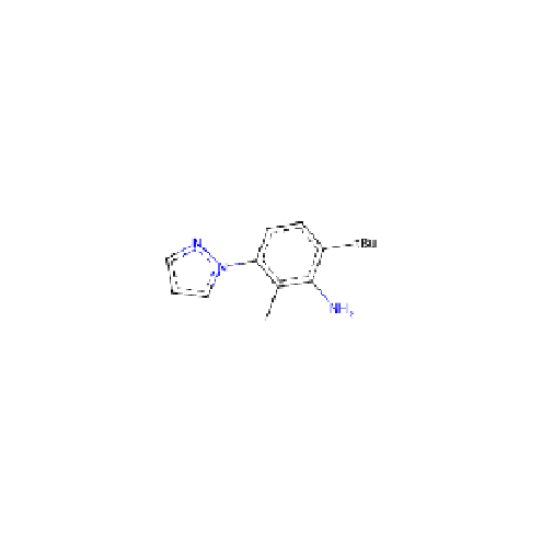 Cc1c(-n2cccn2)ccc(C(C)(C)C)c1N